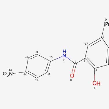 CC(C)c1ccc(O)c(C(=O)Nc2ccc([N+](=O)[O-])cc2)c1